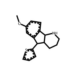 COc1ccc2c(c1)C(c1cccs1)C1CCCNC21